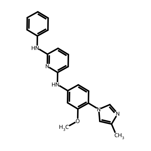 COc1cc(Nc2cccc(Nc3ccccc3)n2)ccc1-n1cnc(C)c1